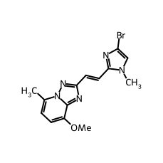 COc1ccc(C)n2nc(/C=C/c3nc(Br)cn3C)nc12